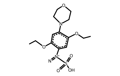 CCOc1cc([N+](=[N-])S(=O)(=O)O)c(OCC)cc1N1CCOCC1